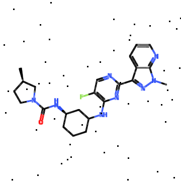 C[C@@H]1CCN(C(=O)N[C@@H]2CCCC(Nc3nc(-c4nn(C)c5ncccc45)ncc3F)C2)C1